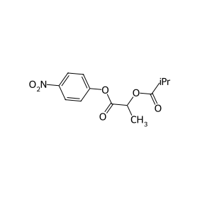 CC(C)C(=O)OC(C)C(=O)Oc1ccc([N+](=O)[O-])cc1